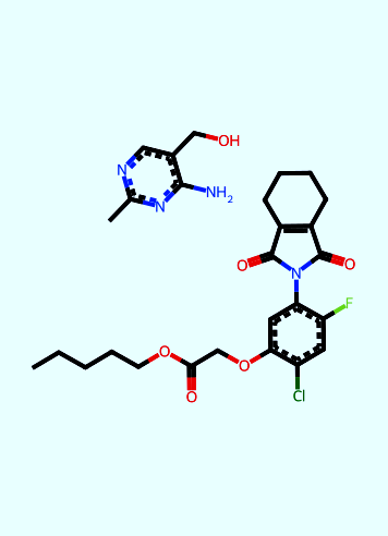 CCCCCOC(=O)COc1cc(N2C(=O)C3=C(CCCC3)C2=O)c(F)cc1Cl.Cc1ncc(CO)c(N)n1